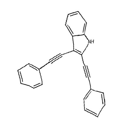 C(#Cc1[nH]c2ccccc2c1C#Cc1ccccc1)c1ccccc1